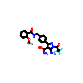 COc1ccccc1C(=O)NCc1ccc(-c2nn(C(=O)C(F)(F)F)c(N)c2C(N)O)cc1